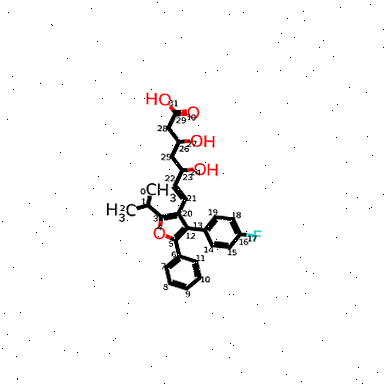 CC(C)c1oc(-c2ccccc2)c(-c2ccc(F)cc2)c1C=CC(O)CC(O)CC(=O)O